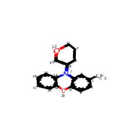 FC(F)(F)c1ccc2c(c1)N(C1C=CCOC1)c1ccccc1O2